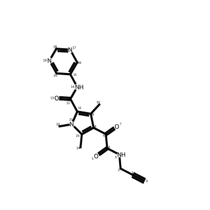 C#CCNC(=O)C(=O)c1c(C)c(C(=O)Nc2cncnc2)n(C)c1C